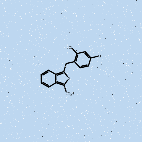 O=C(O)c1sc(Cc2ccc(Cl)cc2Cl)c2ccccc12